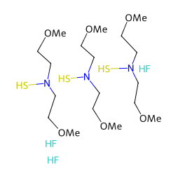 COCCN(S)CCOC.COCCN(S)CCOC.COCCN(S)CCOC.F.F.F